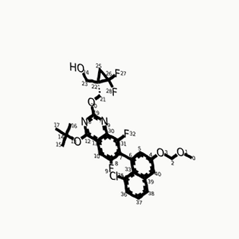 COCOc1cc(-c2c(F)cc3c(OC(C)(C)C)nc(OC[C@]4(CO)CC4(F)F)nc3c2F)c2c(Cl)cccc2c1